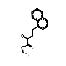 COC(=O)C(O)CCc1cccc2ccccc12